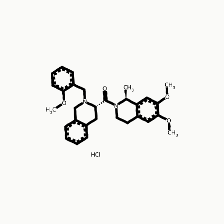 COc1ccccc1CN1Cc2ccccc2C[C@H]1C(=O)N1CCc2cc(OC)c(OC)cc2[C@@H]1C.Cl